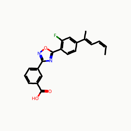 C/C=C\C=C(/C)c1ccc(-c2nc(-c3cccc(C(=O)O)c3)no2)c(F)c1